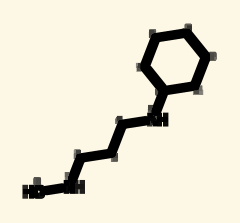 ONCCCNC1CCCCC1